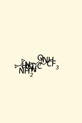 N[C@H](c1cn2ncc(CC3(C(=O)O)C[C@@H](C(F)(F)F)NC3=O)cc2n1)C(C1CC1)C1CC1